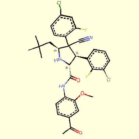 COc1cc(C(C)=O)ccc1NC(=O)[C@@H]1N[C@@H](CC(C)(C)C)C(C#N)(c2ccc(Cl)cc2F)[C@H]1c1cccc(Cl)c1F